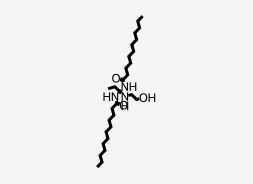 CCCCCCCCCCCC(=O)NC(CC)(NCCO)NC(=O)CCCCCCCCCCC